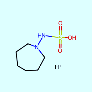 O=S(=O)(O)NN1CCCCCC1.[H+]